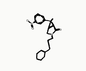 CC1(c2cccc([N+](=O)[O-])c2)C2CN(CCCC3CCCCC3)C(=O)C21